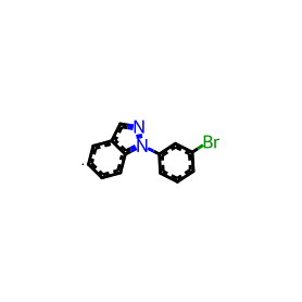 Brc1cccc(-n2ncc3c[c]ccc32)c1